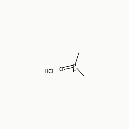 C[PH](C)=O.Cl